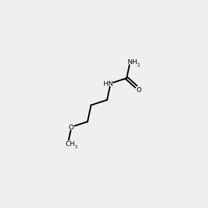 COCCCNC(N)=O